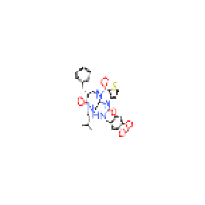 CC(C)CCN1CC2N(C[C@@H](Cc3ccccc3)C1=O)C(=O)c1sccc1N2C(=O)NCc1ccc2c(c1)OCO2